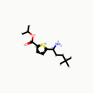 CC(C)OC(=O)c1ccc(C(N)CCC(C)(C)C)s1